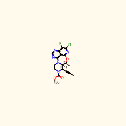 CC#CC1[C@H]2[C@H](C)Oc3nc(Cl)c(F)c4ncnc(c34)N2CCN1C(=O)OC(C)(C)C